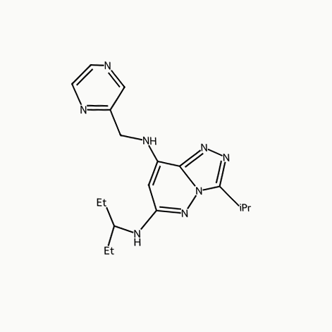 CCC(CC)Nc1cc(NCc2cnccn2)c2nnc(C(C)C)n2n1